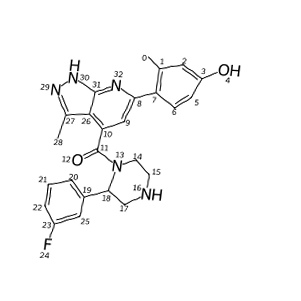 Cc1cc(O)ccc1-c1cc(C(=O)N2CCNCC2c2cccc(F)c2)c2c(C)n[nH]c2n1